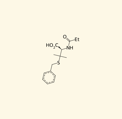 CCC(=O)N[C@H](C(=O)O)C(C)(C)SCc1ccccc1